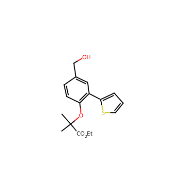 CCOC(=O)C(C)(C)Oc1ccc(CO)cc1-c1cccs1